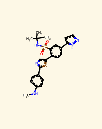 CNc1ccc(-c2ncc(-c3ccc(-c4ccn[nH]4)cc3S(=O)(=O)NC(C)(C)C)s2)cc1